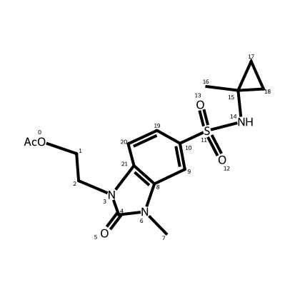 CC(=O)OCCn1c(=O)n(C)c2cc(S(=O)(=O)NC3(C)CC3)ccc21